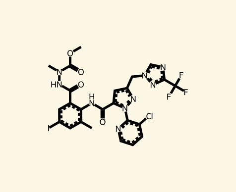 COC(=O)N(C)NC(=O)c1cc(I)cc(C)c1NC(=O)c1cc(Cn2cnc(C(F)(F)F)n2)nn1-c1ncccc1Cl